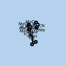 COc1ccc(/C=C(/C#N)c2cc(OC)c(OC)c(OC)c2)cc1N.COc1ccc(/C=C(/C#N)c2cc(OC)c(OC)c(OC)c2)cc1N.NC(=O)[C@H](CO)NC(=O)OCC1c2ccccc2-c2ccccc21